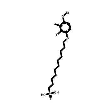 CCOc1ccc(OCCCCCCCCCCCP(=O)(O)O)c(F)c1C